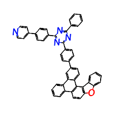 c1ccc(-c2nc(-c3ccc(-c4ccncc4)cc3)nc(-c3ccc(-c4ccc5c(c4)c4ccccc4c4ccc6oc7ccccc7c6c45)cc3)n2)cc1